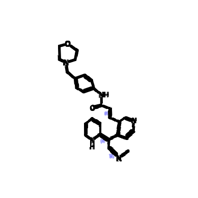 C/N=C\C(=C1\C=CC=CN1)c1ccncc1/C=C/C(=O)Nc1ccc(CN2CCOCC2)cc1